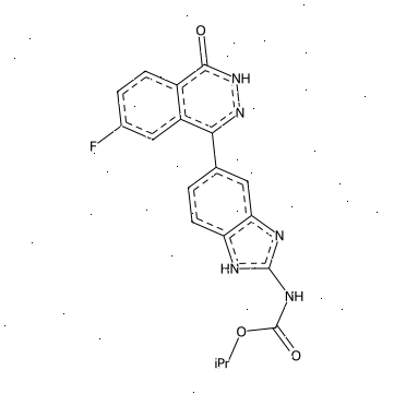 CC(C)OC(=O)Nc1nc2cc(-c3n[nH]c(=O)c4ccc(F)cc34)ccc2[nH]1